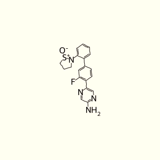 Nc1cnc(-c2ccc(-c3ccccc3N3CCC[S+]3[O-])cc2F)cn1